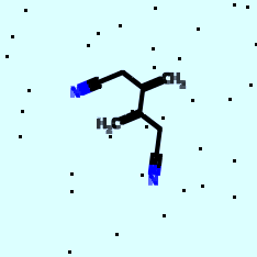 C=C(CC#N)C(=C)CC#N